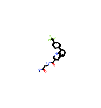 CNC(=O)CCNC(=O)c1cnc2c(C3=CCC(C(F)(F)F)CC3)cccc2c1